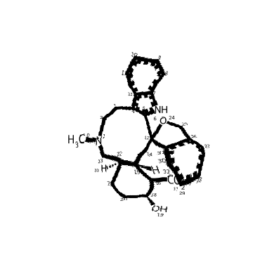 CN1CCc2c([nH]c3ccccc23)C2(C[C@@H]3C(C(=O)O)[C@@H](O)CC[C@H]3C1)OCc1ccccc12